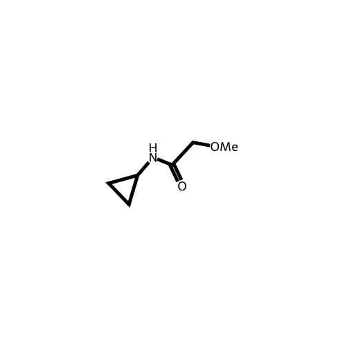 [CH2]OCC(=O)NC1CC1